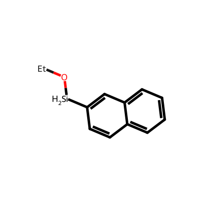 CCO[SiH2]c1ccc2ccccc2c1